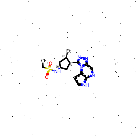 CC[C@@H]1C[C@H](NS(=O)(=O)CC(F)(F)F)C[C@@H]1c1nnc2cnc3[nH]ccc3n12